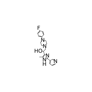 Cc1[nH]c(-c2cccnc2)nc1C(O)CN1CCN(c2ccc(F)cc2)CC1